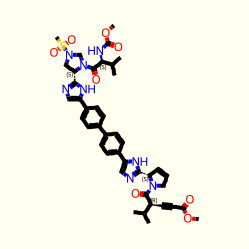 COC(=O)C#C[C@H](C(=O)N1CC=C[C@H]1c1ncc(-c2ccc(-c3ccc(-c4cnc([C@@H]5CN(S(C)(=O)=O)CN5C(=O)[C@@H](NC(=O)OC)C(C)C)[nH]4)cc3)cc2)[nH]1)C(C)C